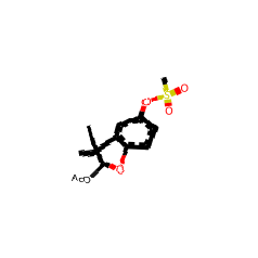 CC(=O)OC1Oc2ccc(OS(C)(=O)=O)cc2C1(C)C